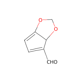 O=CC1=CC=C2OCOC12